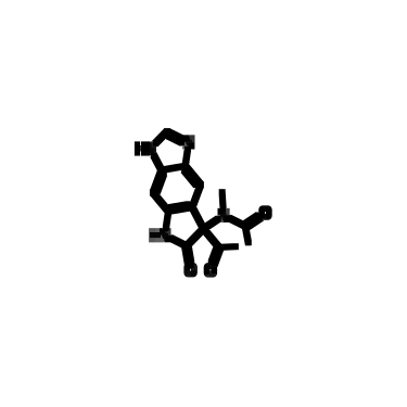 CC(=O)N(C)C1(C(C)=O)C(=O)Nc2cc3[nH]cnc3cc21